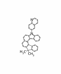 CC1(C)c2ccccc2-c2c1ccc1ccc3c(c4ccccc4n3-c3ccc4ncccc4c3)c21